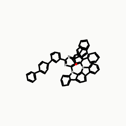 c1ccc(-c2ccc(-c3cccc(-c4nc(-c5ccccc5)nc(-n5c6ccccc6c6ccc7c8ccccc8n(-c8cccc(-c9ccccc9)c8-c8ccccc8)c7c65)n4)c3)cc2)cc1